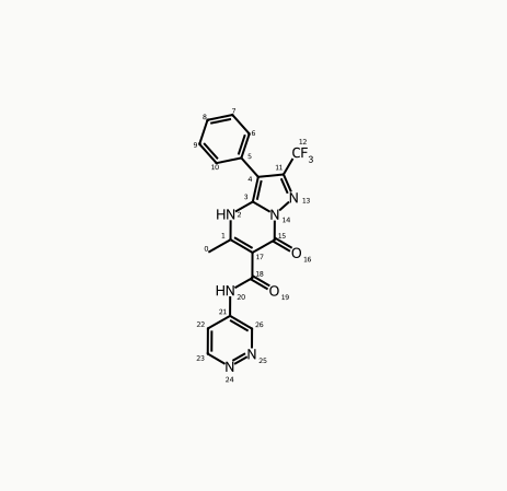 Cc1[nH]c2c(-c3ccccc3)c(C(F)(F)F)nn2c(=O)c1C(=O)Nc1ccnnc1